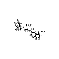 CCC(NCCCc1c[nH]c2ccc(F)cc12)[C@@H]1COc2cccc(OC)c2C1.Cl